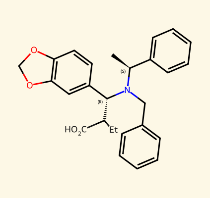 CCC(C(=O)O)[C@H](c1ccc2c(c1)OCO2)N(Cc1ccccc1)[C@@H](C)c1ccccc1